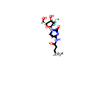 O=C(O)CCC(=O)Nc1ccn([C@@H]2O[C@H](CO)[C@@H](O)C2(F)F)c(=O)n1